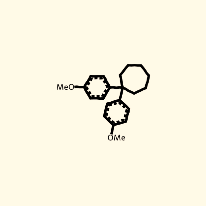 COc1ccc(C2(c3ccc(OC)cc3)CCCCCC2)cc1